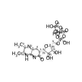 Cc1nc2cc([C@@H]3O[C@H](COP(=O)(O)OP(=O)(O)OP(=O)(O)O)C(O)[C@@H]3O)c(=O)nc-2[nH]c1C